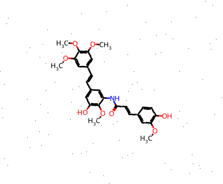 COc1cc(/C=C/C(=O)Nc2cc(C=Cc3cc(OC)c(OC)c(OC)c3)cc(O)c2OC)ccc1O